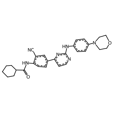 N#Cc1cc(-c2ccnc(Nc3ccc(N4CCOCC4)cc3)n2)ccc1NC(=O)C1CCCCC1